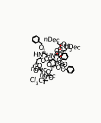 CCCCCCCCCCCC(=O)O[C@H](CCCCCCCCCCC)CC(=O)N[C@H](COCc1ccccc1)CO[C@H]1O[C@H](COC(=O)OC(C)(C)C(Cl)(Cl)Cl)[C@@H](OP(=O)(Oc2ccccc2)Oc2ccccc2)[C@H](OC(=O)C[C@@H](CCCCCCCCCCC)OC(=O)CCCCCCCCCCC)[C@@H]1NC(=O)OCC(Cl)(Cl)Cl